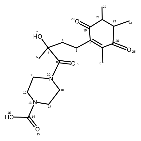 CC1=C(CCC(C)(O)C(=O)N2CCN(C(=O)O)CC2)C(=O)C(C)C(C)C1=O